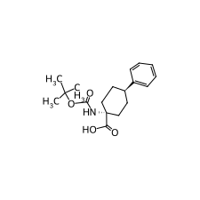 CC(C)(C)OC(=O)N[C@]1(C(=O)O)CC[C@@H](c2ccccc2)CC1